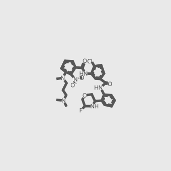 CN(C)CCCN(C)c1cccc(C(=O)Nc2cc(C(=O)Nc3ccccc3C3COCC(F)N3)ccc2Cl)c1[N+](=O)[O-]